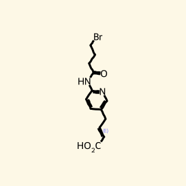 O=C(O)/C=C/Cc1ccc(NC(=O)CCCBr)nc1